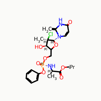 C=C1NC(=O)C=CN1[C@@H]1OC(CO[P@@](=O)(N[C@H](C)C(=O)OC(C)C)Oc2ccccc2)[C@@H](O)[C@@]1(C)Cl